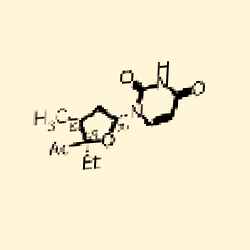 CC[C@@]1(C(C)=O)O[C@@H](n2ccc(=O)[nH]c2=O)C[C@@H]1C